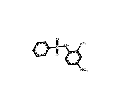 CCCc1cc([N+](=O)[O-])ccc1NS(=O)(=O)c1ccccc1